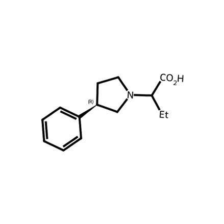 CCC(C(=O)O)N1CC[C@H](c2ccccc2)C1